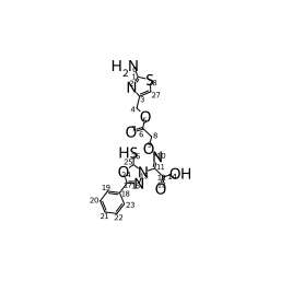 Nc1nc(COC(=O)CO/N=C(/C(=O)O)N2N=C(c3ccccc3)OC2S)cs1